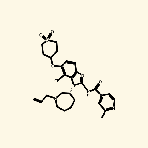 C=CCN1CCCC[C@@H](n2c(NC(=O)c3ccnc(C)c3)nc3ccc(OC4CCS(=O)(=O)CC4)c(Cl)c32)C1